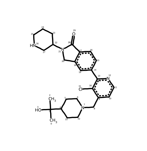 CC(C)(O)C1CCN(Cc2ccnc(-c3ccc4c(c3)CN(C3CCCNC3)C4=O)c2Cl)CC1